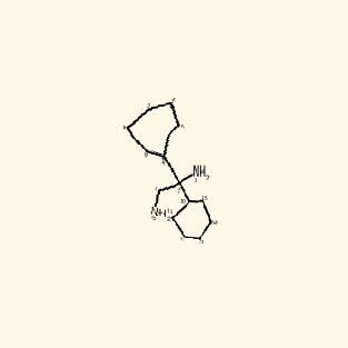 NCC(N)(C1CCCCC1)C1CCCCC1